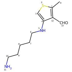 Cc1scc(NCCCCCN)c1C=O